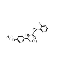 COc1ccc([C@H](CO)NC(=O)[C@H]2C[C@@H]2c2ccccc2F)cc1